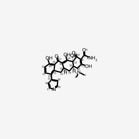 CN(C)[C@H]1C(O)=C(C(N)=O)C(=O)[C@]2(O)C(O)=C3C(=O)c4c(O)ccc(-c5ccncc5)c4C[C@@H]3C[C@H]12